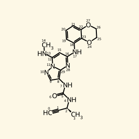 C#C[C@H](C)NC(=O)Nc1cnn2c(NC)cc(Nc3cccc4c3OCCO4)nc12